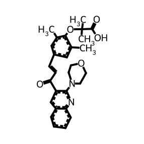 Cc1cc(C=CC(=O)c2cc3ccccc3nc2N2CCOCC2)cc(C)c1OC(C)(C)C(=O)O